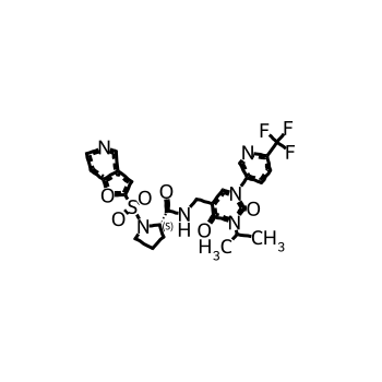 CC(C)n1c(=O)c(CNC(=O)[C@@H]2CCCN2S(=O)(=O)c2cc3cnccc3o2)cn(-c2ccc(C(F)(F)F)nc2)c1=O